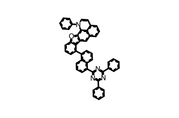 C1=CN(c2ccccc2)c2c3oc4cccc(-c5cccc6c(-c7nc(-c8ccccc8)nc(-c8ccccc8)n7)cccc56)c4c3cc3cccc1c23